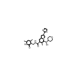 CCN(c1c(C)c(C(=O)NCc2c(C)cc(C)[nH]c2=O)cc2cc(-c3nccs3)cn12)C1CCOCC1